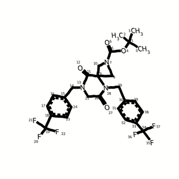 CC(C)(C)OC(=O)N1CC2(C1)C(=O)N(Cc1ccc(C(F)(F)F)cc1)CC(=O)N2Cc1ccc(C(F)(F)F)cc1